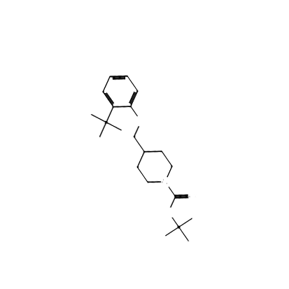 CC(C)(C)OC(=O)N1CCC(COc2ccccc2C(C)(C)C)CC1